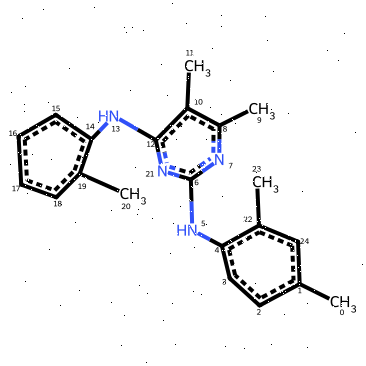 Cc1ccc(Nc2nc(C)c(C)c(Nc3ccccc3C)n2)c(C)c1